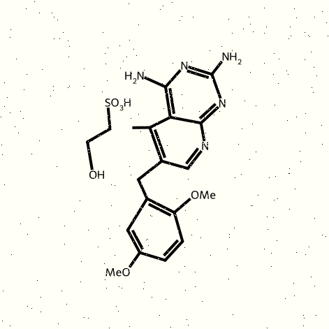 COc1ccc(OC)c(Cc2cnc3nc(N)nc(N)c3c2C)c1.O=S(=O)(O)CCO